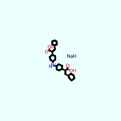 [N-]=[N+](c1ccc(C(=Cc2ccccc2)C(=O)O)cc1)c1ccc(C(=Cc2ccccc2)C(=O)O)cc1.[NaH]